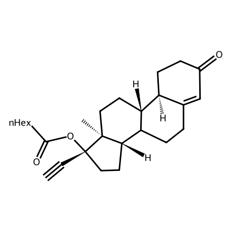 C#C[C@]1(OC(=O)CCCCCC)CC[C@H]2C3CCC4=CC(=O)CC[C@@H]4[C@H]3CC[C@@]21C